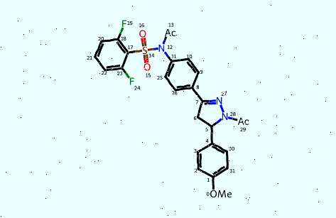 COc1ccc(C2CC(c3ccc(N(C(C)=O)S(=O)(=O)c4c(F)cccc4F)cc3)=NN2C(C)=O)cc1